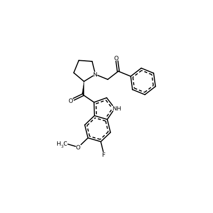 COc1cc2c(C(=O)[C@H]3CCCN3CC(=O)c3ccccc3)c[nH]c2cc1F